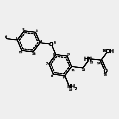 Cc1ccc(Oc2ccc(N)c(CNC(=O)O)c2)cc1